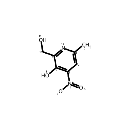 Cc1cc([N+](=O)[O-])c(O)c(CO)n1